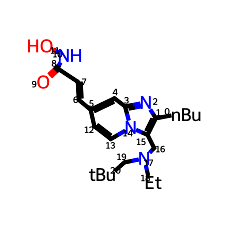 CCCCc1nc2cc(C=CC(=O)NO)ccn2c1CN(CC)CC(C)(C)C